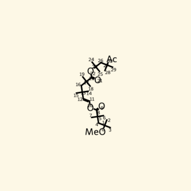 COC(C)(C)CC(C)(C)C(=O)OC=CC(C)(C)CC(C)(C)C(=O)OC(C)(C)CC(C)(C)C(C)=O